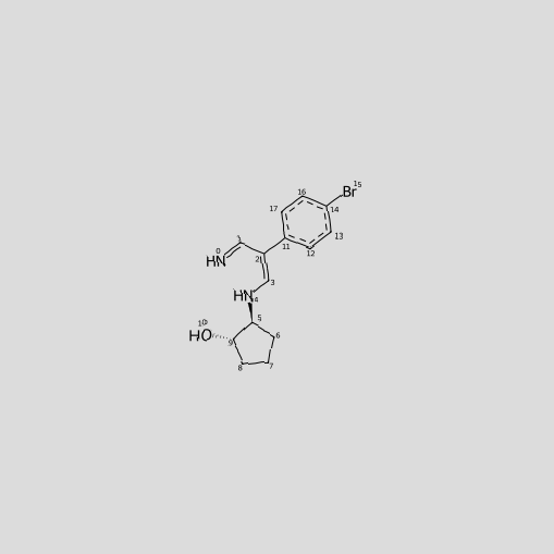 N=C/C(=C\N[C@H]1CCC[C@@H]1O)c1ccc(Br)cc1